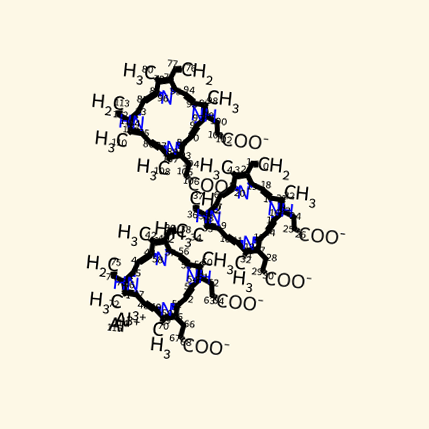 C=CC1=C(C)c2cc3[nH]c(cc4nc(cc5[nH]c(cc1n2)c(C)c5CCC(=O)[O-])C(CCC(=O)[O-])=C4C)c(C)c3C=C.C=CC1=C(C)c2cc3[nH]c(cc4nc(cc5[nH]c(cc1n2)c(C)c5CCC(=O)[O-])C(CCC(=O)[O-])=C4C)c(C)c3C=C.C=CC1=C(C)c2cc3[nH]c(cc4nc(cc5[nH]c(cc1n2)c(C)c5CCC(=O)[O-])C(CCC(=O)[O-])=C4C)c(C)c3C=C.[Al+3].[Al+3]